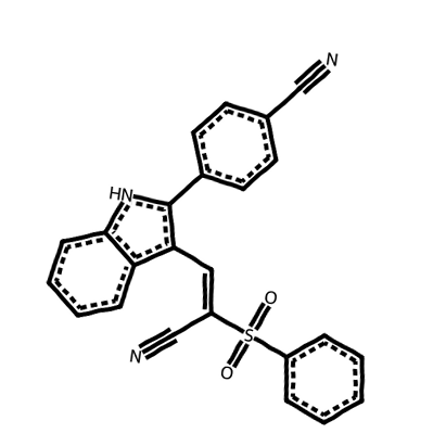 N#CC(=Cc1c(-c2ccc(C#N)cc2)[nH]c2ccccc12)S(=O)(=O)c1ccccc1